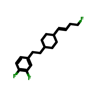 FCCC=CC1CCC(CCc2ccc(F)c(F)c2)CC1